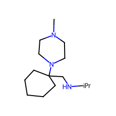 CC(C)NCC1(N2CCN(C)CC2)CCCCC1